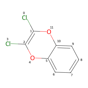 ClC1=C(Cl)Oc2ccccc2O1